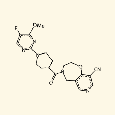 COc1nc(N2CCC(C(=O)N3CCOc4c(C#N)cncc4C3)CC2)ncc1F